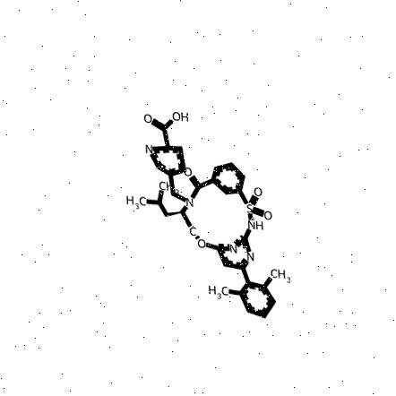 Cc1cccc(C)c1-c1cc2nc(n1)NS(=O)(=O)c1cccc(c1)C(=O)N(Cc1ccc(C(=O)O)nc1)[C@H](CC(C)C)CO2